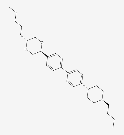 CCCCC[C@@H]1CO[C@@H](c2ccc(-c3ccc([C@H]4CC[C@H](CCCC)CC4)cc3)cc2)CO1